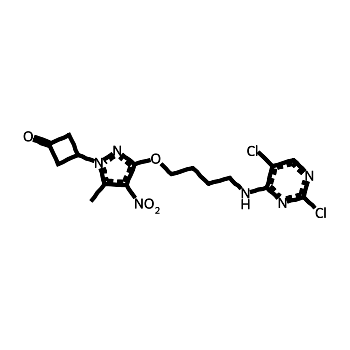 Cc1c([N+](=O)[O-])c(OCCCCNc2nc(Cl)ncc2Cl)nn1C1CC(=O)C1